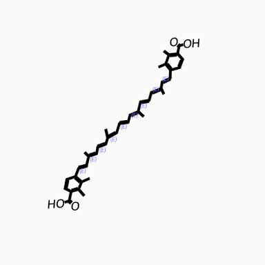 CC(/C=C/C=C(C)/C=C/c1ccc(C(=O)O)c(C)c1C)=C\C=C\C=C(C)\C=C\C=C(C)\C=C\c1ccc(C(=O)O)c(C)c1C